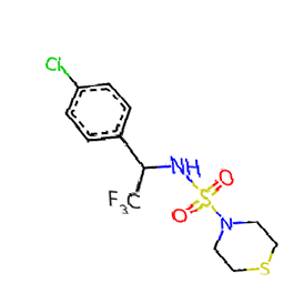 O=S(=O)(NC(c1ccc(Cl)cc1)C(F)(F)F)N1CCSCC1